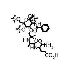 CC(NC(=O)CO[C@H]1[C@H](O[Si](C)(C)C)[C@@H](CO[Si](C)(C)C)OC(O)([Si](C)(C)C)[C@@H]1NC(=O)c1ccccc1)C(=O)NC(CCC(=O)O)C(N)=O